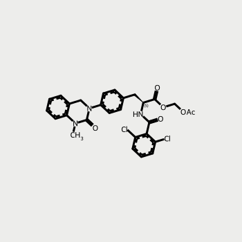 CC(=O)OCOC(=O)[C@H](Cc1ccc(N2Cc3ccccc3N(C)C2=O)cc1)NC(=O)c1c(Cl)cccc1Cl